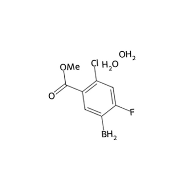 Bc1cc(C(=O)OC)c(Cl)cc1F.O.O